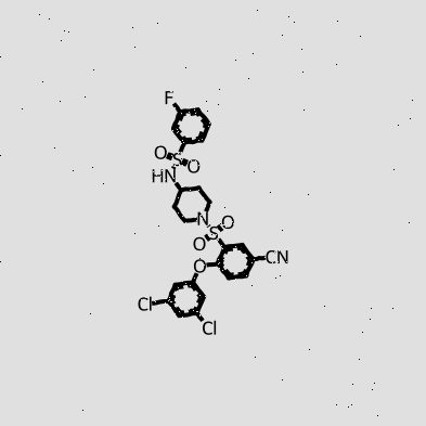 N#Cc1ccc(Oc2cc(Cl)cc(Cl)c2)c(S(=O)(=O)N2CCC(NS(=O)(=O)c3cccc(F)c3)CC2)c1